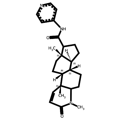 CN1C(=O)C=C[C@@]2(C)C1CC[C@@H]1[C@H]2CC[C@]2(C)C(C(=O)Nc3ccncc3)CC[C@@H]12